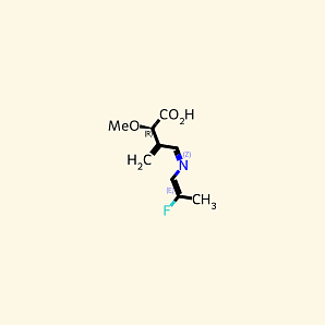 C=C(/C=N\C=C(/C)F)[C@@H](OC)C(=O)O